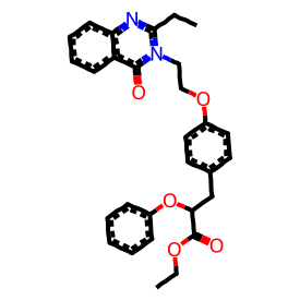 CCOC(=O)C(Cc1ccc(OCCn2c(CC)nc3ccccc3c2=O)cc1)Oc1ccccc1